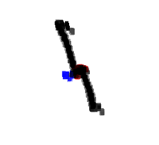 CCCCCCCCCCCCCCCCC/C=C(\CC(C)/C(=C\CCCCCCCCCCCCCCCCC)C(N)=O)C(=O)O